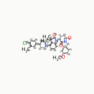 COc1ccc(CN2C(=O)CCC(N3C(=O)C(C)(C)c4c(N5CCC(c6ccc(Cl)c(C)c6)CC5)cccc43)C2=O)cc1